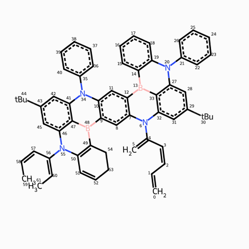 C=C/C=C\C(=C)N1c2cc3c(cc2B2c4ccccc4N(c4ccccc4)c4cc(C(C)(C)C)cc1c42)N(c1ccccc1)c1cc(C(C)(C)C)cc2c1B3C1=C(C=CCC1)N2C(/C=C\C)=C/C